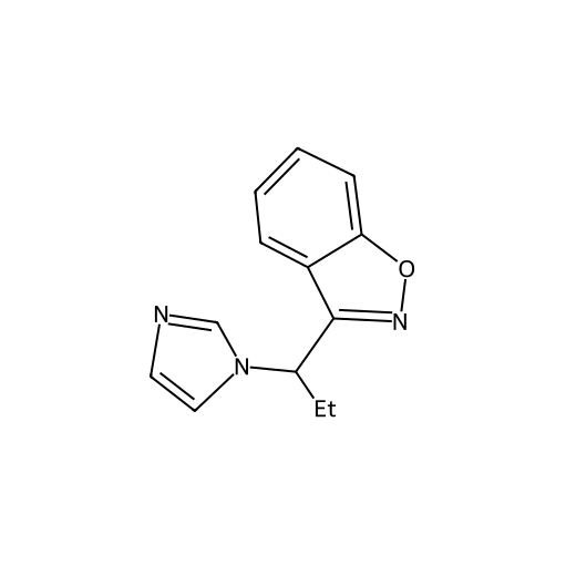 CCC(c1noc2ccccc12)n1ccnc1